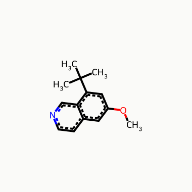 COc1cc(C(C)(C)C)c2cnccc2c1